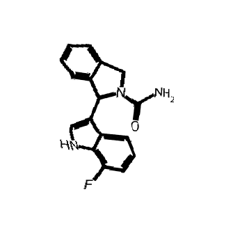 NC(=O)N1Cc2ccccc2C1c1c[nH]c2c(F)cccc12